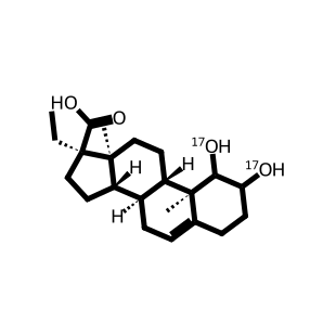 CC[C@@]1(C(=O)O)CC[C@H]2[C@@H]3CC=C4CCC([17OH])C([17OH])[C@]4(C)[C@H]3CC[C@@]21C